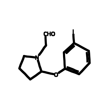 O=CCN1CCCC1Oc1cccc(I)c1